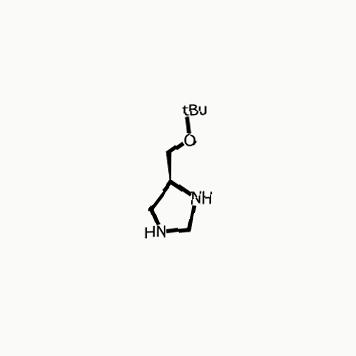 CC(C)(C)OC[C@@H]1CNCN1